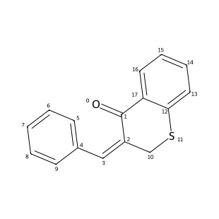 O=C1C(=Cc2ccccc2)CSc2ccccc21